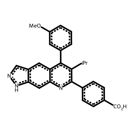 COc1cccc(-c2c(C(C)C)c(-c3ccc(C(=O)O)cc3)nc3cc4[nH]ncc4cc23)c1